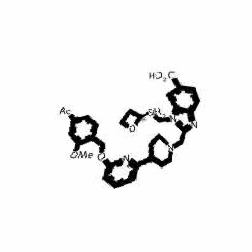 COc1cc(C(C)=O)ccc1COc1cccc(C2CCN(Cc3nc4ccc(C(=O)O)cc4n3C[SiH2][C@@H]3CCO3)CC2)n1